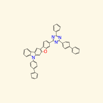 c1ccc(-c2ccc(-c3nc(-c4ccccc4)nc(-c4ccc5c(c4)oc4cc6c(cc45)c4ccccc4n6-c4ccc(-c5ccccc5)cc4)n3)cc2)cc1